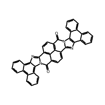 O=c1c2ccc3c4c(ccc(c24)c2nc4c5ccccc5c5ccccc5c4n12)c(=O)n1c3nc2c3ccccc3c3ccccc3c21